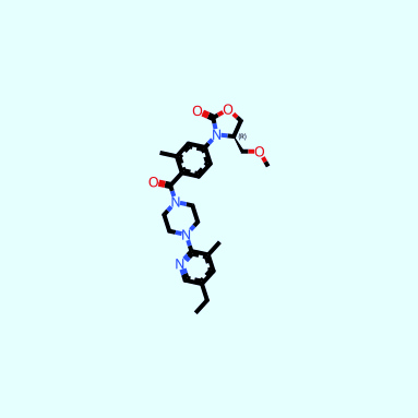 CCc1cnc(N2CCN(C(=O)c3ccc(N4C(=O)OC[C@H]4COC)cc3C)CC2)c(C)c1